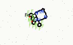 Fc1c(F)c(F)c(C2=Cc3cc4ccc(cc5nc(cc6[nH]c(c(-c7c(F)c(F)c(F)c(F)c7F)c2n3)c(-c2c(F)c(F)c(F)c(F)c2F)c6-c2c(F)c(F)c(F)c(F)c2F)C=C5)[nH]4)c(F)c1F.[Fe]